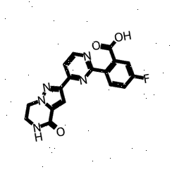 O=C(O)c1cc(F)ccc1-c1nccc(-c2cc3n(n2)CCNC3=O)n1